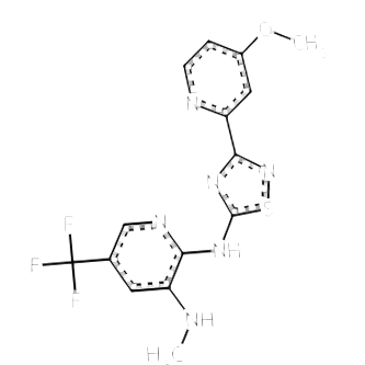 CNc1cc(C(F)(F)F)cnc1Nc1nc(-c2cc(OC)ccn2)ns1